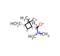 CN(C)C(=O)[C@@H]1C[C@H](C(=O)O)C1(C)C